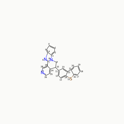 c1ccc2c(c1)nc1n2CC(c2ccc3sc4ccccc4c3c2)c2ccncc2-1